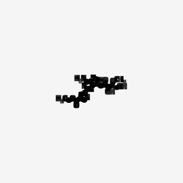 CCOC(=O)c1cnn(-c2nc(N)c3ncn(C[C@H](O)[C@H](O)[C@@H](CO)OC)c3n2)c1